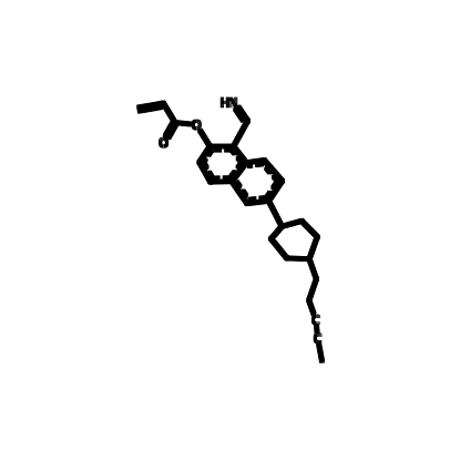 C=CC(=O)Oc1ccc2cc(C3CCC(CCCCC)CC3)ccc2c1C=N